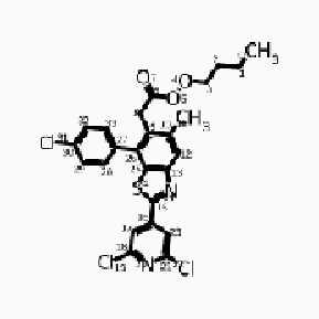 CCCCOOC(=O)Cc1c(C)cc2nc(-c3cc(Cl)nc(Cl)c3)sc2c1-c1ccc(Cl)cc1